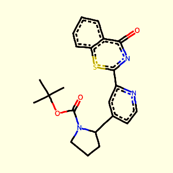 CC(C)(C)OC(=O)N1CCCC1c1ccnc(-c2nc(=O)c3ccccc3s2)c1